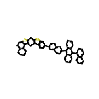 c1ccc2c(-c3c4ccccc4c(-c4ccc5cc(-c6ccc7c(c6)sc6cc8sc9ccc%10ccccc%10c9c8cc67)ccc5c4)c4ccccc34)cccc2c1